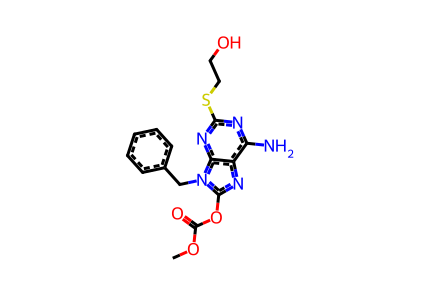 COC(=O)Oc1nc2c(N)nc(SCCO)nc2n1Cc1ccccc1